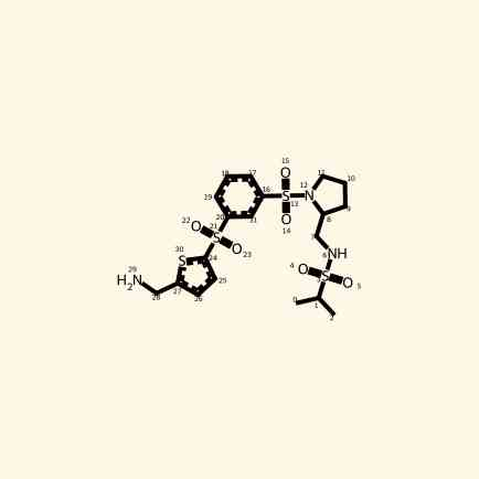 CC(C)S(=O)(=O)NCC1CCCN1S(=O)(=O)c1cccc(S(=O)(=O)c2ccc(CN)s2)c1